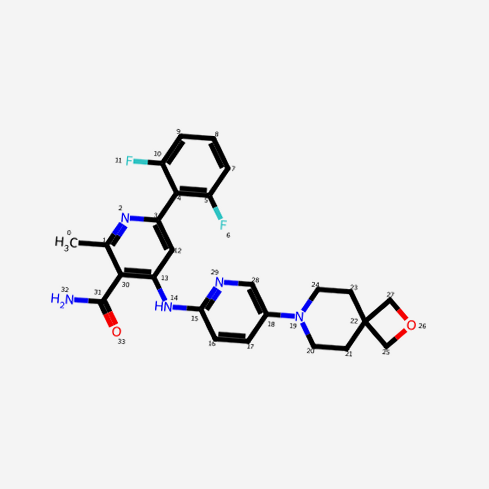 Cc1nc(-c2c(F)cccc2F)cc(Nc2ccc(N3CCC4(CC3)COC4)cn2)c1C(N)=O